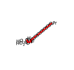 CCCOCCOCCOCCOCCOCCOCCOCCOCCOCCOCCOCCOCCOCCn1cc(CNC(=O)C(CC(=O)O)SCC(N)C(=O)O)nn1